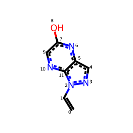 C=Cn1ncc2nc(O)cnc21